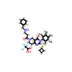 O=C(O)C(F)(F)F.[2H]c1c([2H])c([2H])c(-n2c(SC3CCC3)nc3c(c2=O)CN(C(=O)CCNCc2ccccc2)CC3)c([2H])c1[2H]